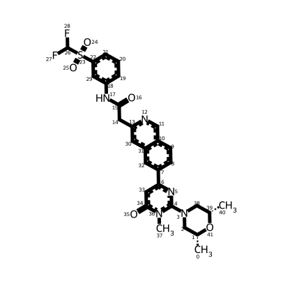 C[C@@H]1CN(c2nc(-c3ccc4cnc(CC(=O)Nc5cccc(S(=O)(=O)C(F)F)c5)cc4c3)cc(=O)n2C)C[C@H](C)O1